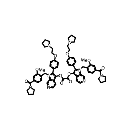 COc1cc(C(=O)N2CCCC2)ccc1Cn1c(-c2ccc(OCCN3CCCC3)cc2)c(OC(=O)C(=O)Oc2c(-c3ccc(OCCN4CCCC4)cc3)n(Cc3ccc(C(=O)N4CCCC4)cc3OC)c3cnccc23)c2ccncc21